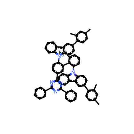 Cc1ccc(-c2ccc3c(c2)c2ccccc2n3-c2ccc(-c3nc(-c4ccccc4)nc(-c4ccccc4)n3)cc2-c2c(-n3c4ccccc4c4cc(-c5ccc(C)cc5C)ccc43)cccc2C(F)(F)F)c(C)c1